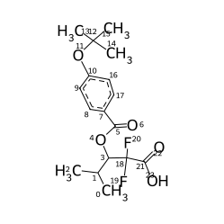 CC(C)C(OC(=O)c1ccc(OC(C)(C)C)cc1)C(F)(F)C(=O)O